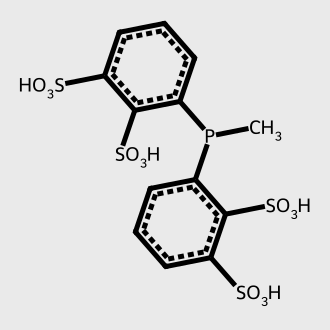 CP(c1cccc(S(=O)(=O)O)c1S(=O)(=O)O)c1cccc(S(=O)(=O)O)c1S(=O)(=O)O